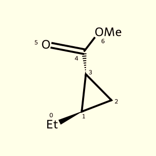 CC[C@@H]1C[C@H]1C(=O)OC